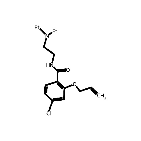 C=CCOc1cc(Cl)ccc1C(=O)NCCN(CC)CC